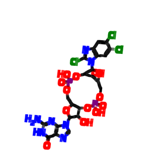 Nc1nc2c(ncn2C2OC3COP(=O)(O)OC4C(O)C(COP(=O)(O)OC3C2O)OC4n2c(Cl)nc3cc(Cl)c(Cl)cc32)c(=O)[nH]1